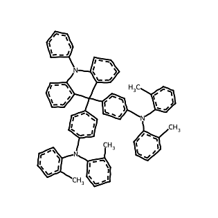 Cc1ccccc1N(c1ccc(C2(c3ccc(N(c4ccccc4C)c4ccccc4C)cc3)c3ccccc3N(c3ccccc3)c3ccccc32)cc1)c1ccccc1C